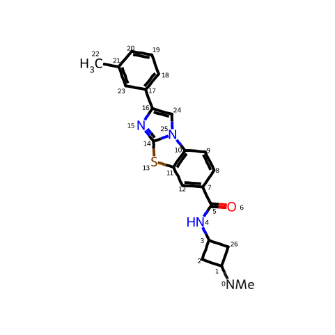 CNC1CC(NC(=O)c2ccc3c(c2)sc2nc(-c4cccc(C)c4)cn23)C1